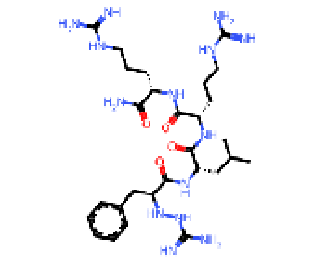 CC(C)C[C@H](NC(=O)[C@H](Cc1ccccc1)NNC(=N)N)C(=O)N[C@@H](CCCNC(=N)N)C(=O)N[C@@H](CCCNC(=N)N)C(N)=O